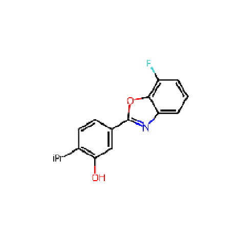 CC(C)c1ccc(-c2nc3cccc(F)c3o2)cc1O